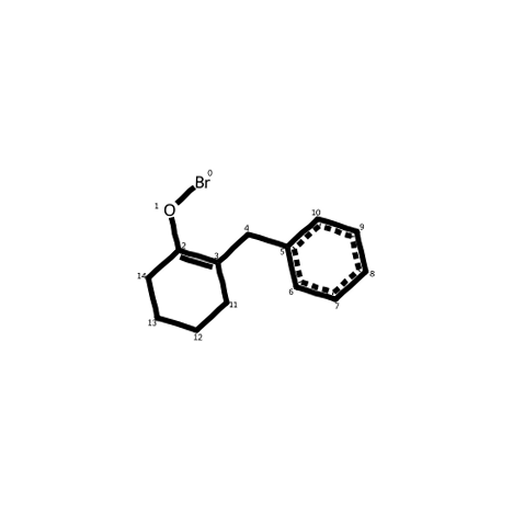 BrOC1=C(Cc2ccccc2)CCCC1